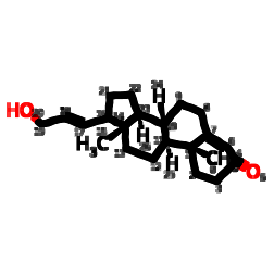 C[C@]12CCC(=O)C=C1CC[C@@H]1[C@@H]2CC[C@]2(C)C(C=CCO)CC[C@@H]12